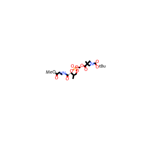 COC(=O)CCNC(=O)[C@@H]1OP(=O)(OCOC(=O)C2(C)CN(C(=O)OC(C)(C)C)C2)OCC1C